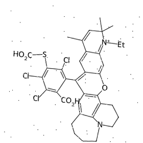 CC[N+]1=c2cc3c(cc2C(C)=CC1(C)C)=C(c1c(Cl)c(SC(=O)O)c(Cl)c(Cl)c1C(=O)O)c1cc2c4c(c1O3)CCCN4CCCC2